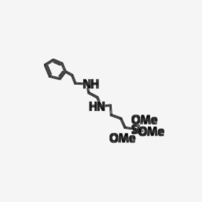 CO[Si](CCCCNCCNCCc1ccccc1)(OC)OC